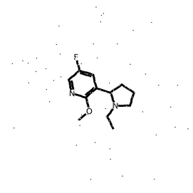 CCN1CCCC1c1cc(F)cnc1OC